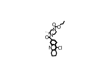 CCCOC(=O)N1CCN(C(=O)c2ccc3c(Cl)c4c(nc3c2)CCCC4)[C@H](C)C1